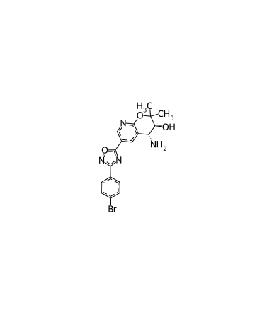 CC1(C)Oc2ncc(-c3nc(-c4ccc(Br)cc4)no3)cc2[C@@H](N)[C@@H]1O